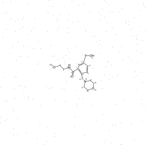 COCCNC(=O)c1cc(CO)ccc1CN1CCOCC1